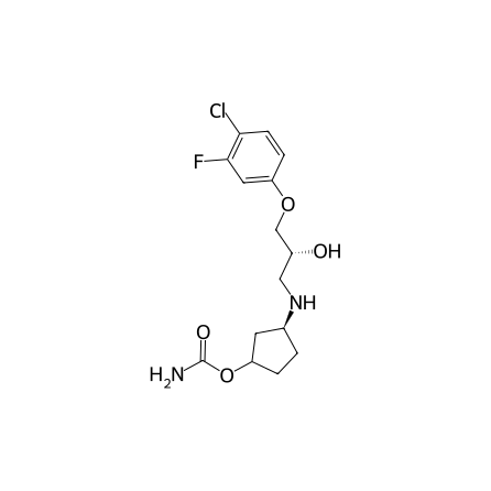 NC(=O)OC1CC[C@H](NC[C@@H](O)COc2ccc(Cl)c(F)c2)C1